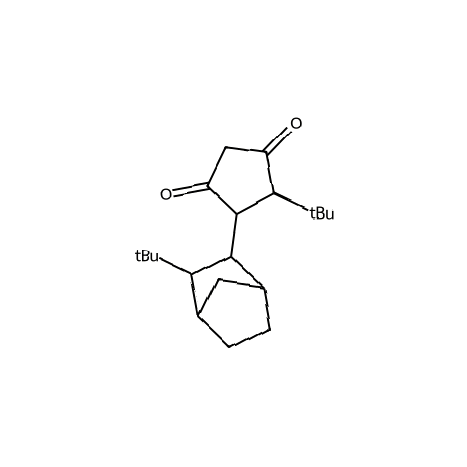 CC(C)(C)C1C(=O)CC(=O)C1C1C2CCC(C2)C1C(C)(C)C